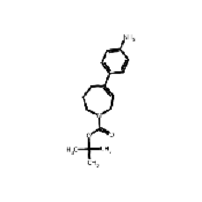 CC(C)(C)OC(=O)N1CC=C(c2ccc(N)cc2)CCC1